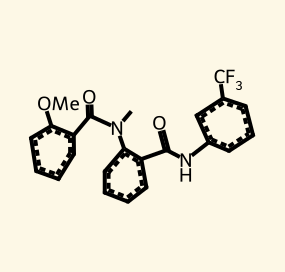 COc1ccccc1C(=O)N(C)c1ccccc1C(=O)Nc1cccc(C(F)(F)F)c1